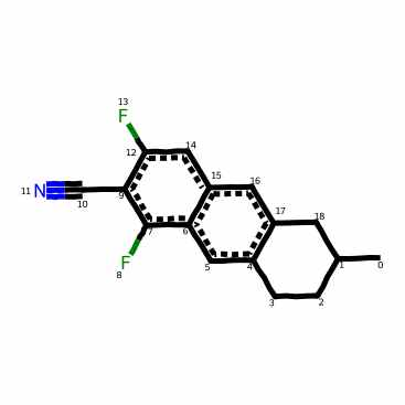 CC1CCc2cc3c(F)c(C#N)c(F)cc3cc2C1